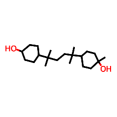 CC1(O)CCC(C(C)(C)CCC(C)(C)C2CCC(O)CC2)CC1